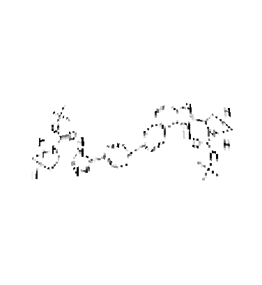 CC(C)(C)OC(=O)N1C(c2nc3ccc4cc(-c5ccc(-c6cnc([C@@H]7C[C@H]8C[C@H]8N7C(=O)OC(C)(C)C)[nH]6)cc5)ccc4c3[nH]2)C[C@H]2C[C@H]21